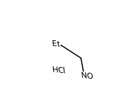 CCCN=O.Cl